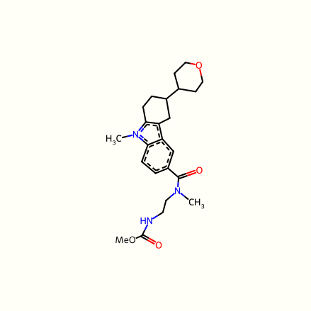 COC(=O)NCCN(C)C(=O)c1ccc2c(c1)c1c(n2C)CCC(C2CCOCC2)C1